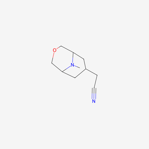 CN1C2COCC1CC(CC#N)C2